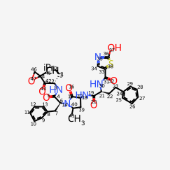 CC(C)C[C@H](NC(=O)[C@H](Cc1ccccc1)N1C(=O)[C@@H](NC(=O)[C@H](CCc2ccccc2)NC(=O)c2cnc(O)s2)CC1C)C(=O)C1(C)CO1